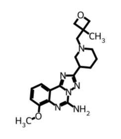 COc1cccc2c1nc(N)n1nc(C3CCCN(CC4(C)COC4)C3)nc21